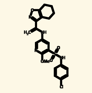 C=C(Nc1cnc(OC)c(S(=O)(=O)Nc2ccc(Cl)cc2)c1)c1noc2c1CCCC2